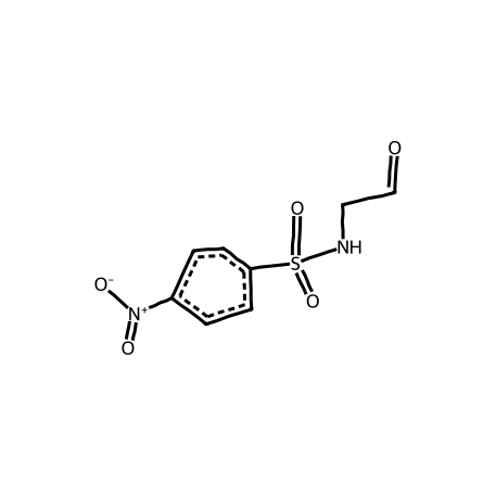 O=CCNS(=O)(=O)c1ccc([N+](=O)[O-])cc1